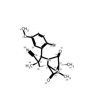 COc1ccc(Br)c(C2N3C(=O)[C@]4(C)S[C@@]3(C[C@]2(C)C#N)C(=O)N4C)c1